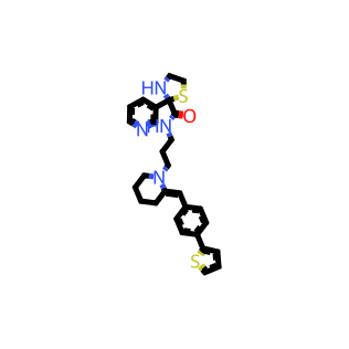 O=C(NCCCN1CCCCC1=Cc1ccc(-c2cccs2)cc1)C1(c2cccnc2)NCCS1